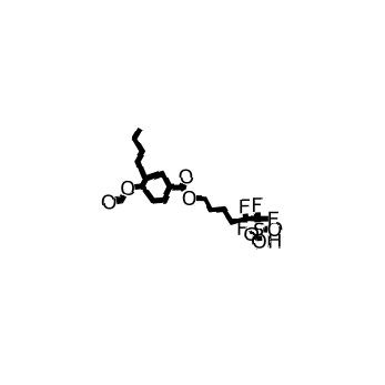 CCCCC1CC(C(=O)OCCCCC(F)(F)C(F)(F)S(=O)(=O)O)CCC1OC=O